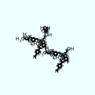 Br.CNCC(=O)Oc1c(C)cc(C[N+]2=C[N+](CCCCO)(c3ccc(F)cc3F)N(c3nc(-c4ccc(C#N)cc4)cs3)C2)cc1C.CNCC(=O)Oc1c(C)cc(C[N+]2=C[N+](CCCCO)(c3ccc(F)cc3F)N(c3nc(-c4ccc(C#N)cc4)cs3)C2)cc1C.O=C(O)C(F)(F)F